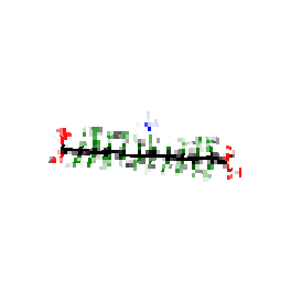 N.O=C(O)C(F)(F)C(F)(F)C(F)(F)C(F)(F)C(F)(F)C(F)(F)C(F)(F)C(F)(F)C(F)(F)C(F)(F)C(=O)O